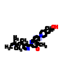 C=C1CC(/C=C\C(=C/C)N2CCC(=C)C(CCCO)CC2)=NC(c2cc(C(C)=C=C(C)/C(C)=C\C)ccn2)=CC1=O